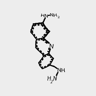 NNc1ccc2cc3ccc(NN)cc3nc2c1